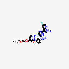 COCCOCc1ccnc(C(=O)N[C@@H]2CCC[C@H](Nc3nc(-c4c[nH]c5ncc(F)cc45)ncc3F)C2)c1